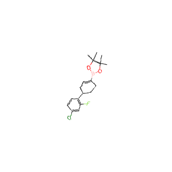 CC1(C)OB(C2=CCC(c3ccc(Cl)cc3F)CC2)OC1(C)C